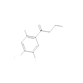 C=C(CCC)c1cc(F)c(C)cc1C